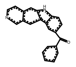 O=C(c1ccccc1)c1ccc2[nH]c3cc4ccncc4cc3c2c1